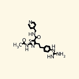 CC(=O)Nc1nc(CCc2ccc(NC(=N)N)cc2)c(C(=O)NCc2ccncc2)s1